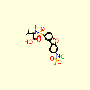 CC(C)[C@@H](NS(=O)(=O)c1ccc2oc3cc(N(Cl)S(C)(=O)=O)ccc3c2c1)C(=O)O